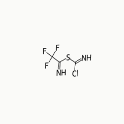 N=C(Cl)SC(=N)C(F)(F)F